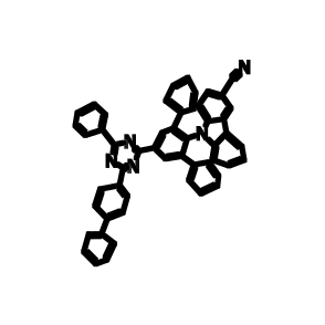 N#Cc1ccc2c(c1)c1ccccc1n2-c1c(-c2ccccc2)cc(-c2nc(-c3ccccc3)nc(-c3ccc(-c4ccccc4)cc3)n2)cc1-c1ccccc1